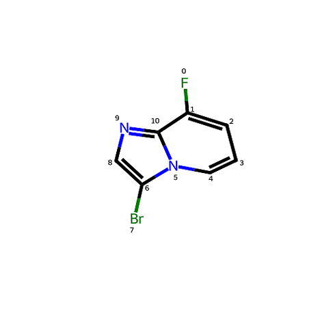 Fc1cccn2c(Br)cnc12